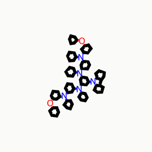 c1ccc(Oc2cccc(N(c3ccccc3)c3cccc(N(c4ccccc4)c4cc(N(c5ccccc5)c5cccc(N(c6ccccc6)c6cccc(Oc7ccccc7)c6)c5)cc(-n5c6ccccc6c6ccccc65)c4)c3)c2)cc1